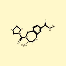 C[C@H]1COc2cc(C(=O)NO)ccc2CN1C(=O)N1CCCC1